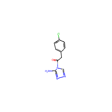 Nc1nncn1C(=O)Cc1ccc(Cl)cc1